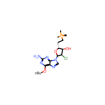 C=P(C)(C)CC[C@H]1OC(n2cnc3c(OCCCC)nc(N)nc32)[C@H](Cl)[C@@H]1O